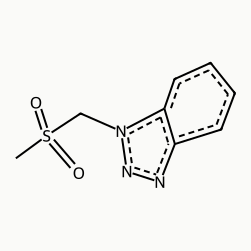 CS(=O)(=O)Cn1nnc2ccccc21